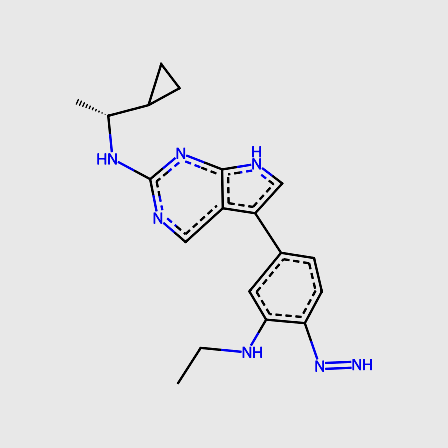 CCNc1cc(-c2c[nH]c3nc(N[C@H](C)C4CC4)ncc23)ccc1N=N